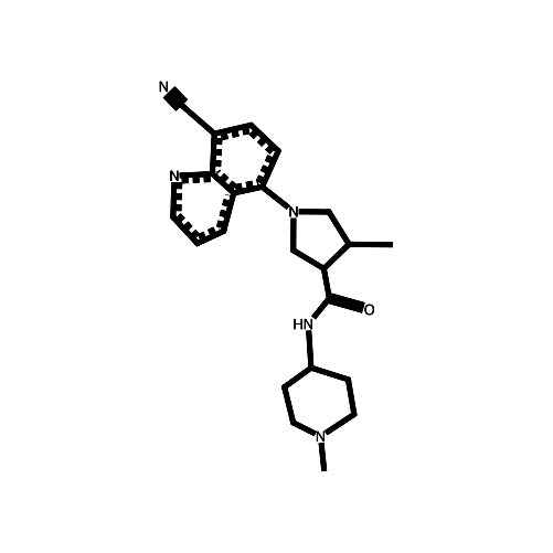 CC1CN(c2ccc(C#N)c3ncccc23)CC1C(=O)NC1CCN(C)CC1